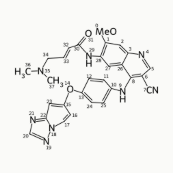 COc1cc2ncc(C#N)c(Nc3ccc(Oc4ccn5ncnc5c4)cc3)c2cc1NC(=O)/C=C/CN(C)C